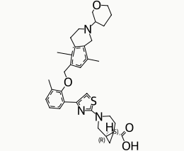 Cc1cc(COc2c(C)cccc2-c2csc(N3CC[C@@]4(C(=O)O)C[C@H]4C3)n2)c(C)c2c1CN(C1CCCOC1)CC2